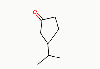 CC(C)C1CCC(=O)C1